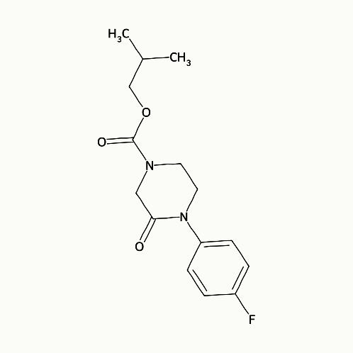 CC(C)COC(=O)N1CCN(c2ccc(F)cc2)C(=O)C1